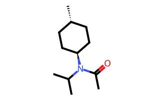 CC(=O)N(C(C)C)[C@H]1CC[C@H](C)CC1